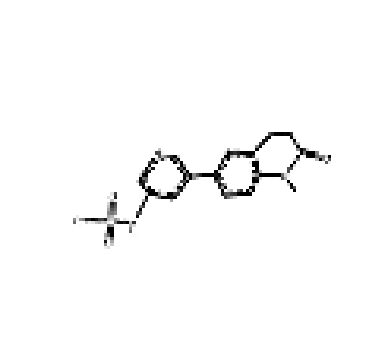 CCS(=O)(=O)Nc1cncc(-c2ccc3c(c2)CCC(=O)N3C)c1